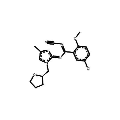 COc1ccc(Cl)cc1C(=NC#N)/N=c1\sc(C)cn1C[C@H]1CCCO1